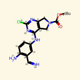 CC(C)(C)OC(=O)N1Cc2nc(Cl)nc(Nc3ccc(N)c(C=N)c3)c2C1